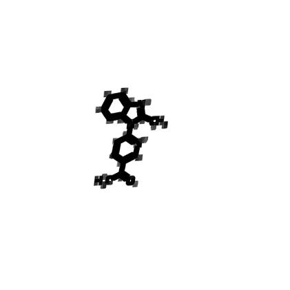 CC(=O)c1ccc(-n2c(C)nc3ccccc32)nc1